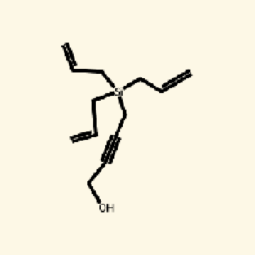 C=CC[Si](CC#CCO)(CC=C)CC=C